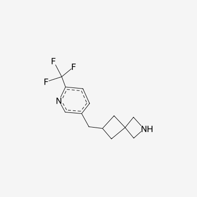 FC(F)(F)c1ccc(CC2CC3(CNC3)C2)cn1